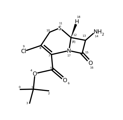 CC(C)(C)OC(=O)C1=C(Cl)CS[C@@H]2C(N)C(=O)N12